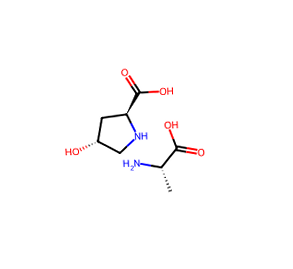 C[C@H](N)C(=O)O.O=C(O)[C@@H]1C[C@@H](O)CN1